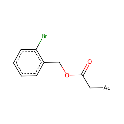 CC(=O)CC(=O)OCc1ccccc1Br